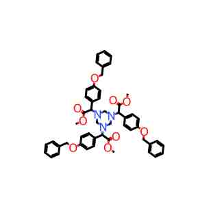 COC(=O)C(c1ccc(OCc2ccccc2)cc1)N1CN(C(C(=O)OC)c2ccc(OCc3ccccc3)cc2)CN(C(C(=O)OC)c2ccc(OCc3ccccc3)cc2)C1